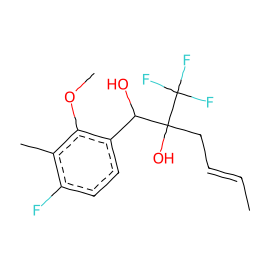 CC=CCC(O)(C(O)c1ccc(F)c(C)c1OC)C(F)(F)F